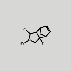 CC(C)C1C2C3C=CC(C3)C2(F)CN1C(C)C